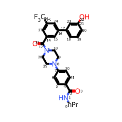 CCCNC(=O)c1ccc(N2CCN(C(=O)c3cc(-c4cccc(O)c4)cc(C(F)(F)F)c3)CC2)cc1